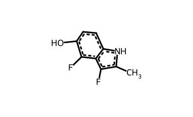 Cc1[nH]c2ccc(O)c(F)c2c1F